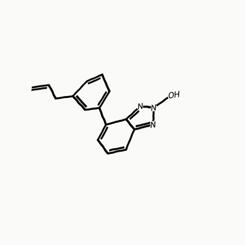 C=CCc1cccc(-c2cccc3nn(O)nc23)c1